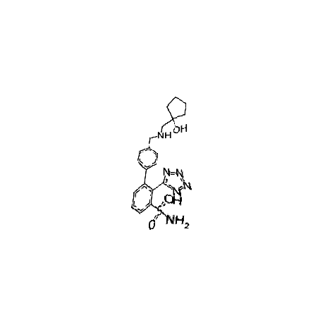 NS(=O)(=O)c1cccc(-c2ccc(CNCC3(O)CCCC3)cc2)c1-c1nnn[nH]1